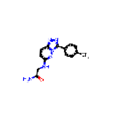 NC(=O)CNc1ccc2nnc(-c3ccc(C(F)(F)F)cc3)n2n1